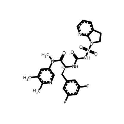 Cc1cc(N(C)C(=O)[C@H](Cc2cc(F)cc(F)c2)NC(=O)NS(=O)(=O)N2CCc3cccnc32)cnc1C